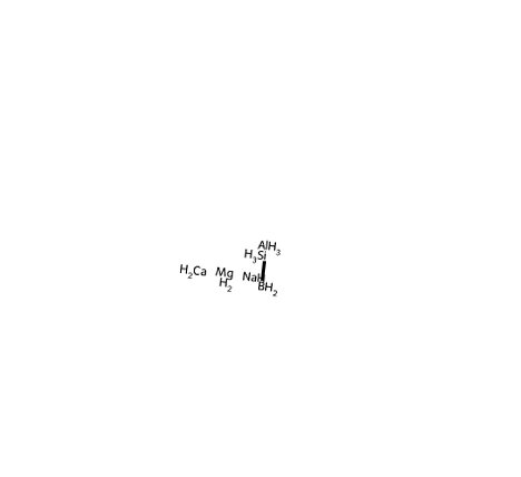 B[SiH3].[AlH3].[CaH2].[MgH2].[NaH]